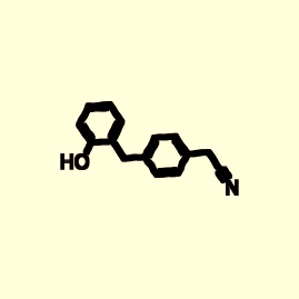 N#CCc1ccc(Cc2ccccc2O)cc1